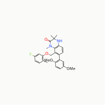 COc1ccc(OC)c(-c2ccc3c(c2COc2cc(F)ccc2C)N(C)C(=O)C(C)(C)N3)c1